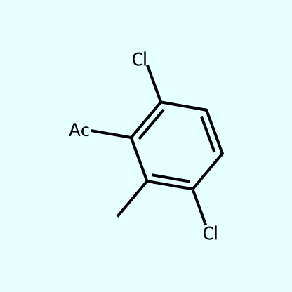 CC(=O)c1c(Cl)ccc(Cl)c1C